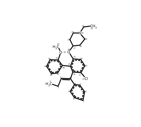 CCC=C(c1ccccc1)c1c(Cl)ccc(OC2CCN(CC)CC2)c1-c1ccccc1OC